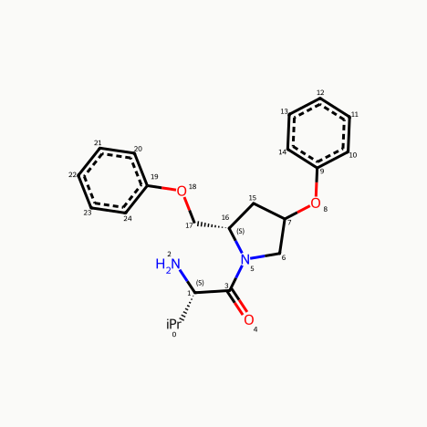 CC(C)[C@H](N)C(=O)N1CC(Oc2ccccc2)C[C@H]1COc1ccccc1